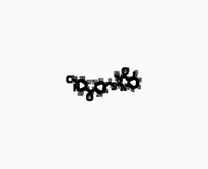 Cc1cccc2nc(SCc3ccc(C(=O)c4ccc(Cl)nc4)cc3)n(C)c(=O)c12